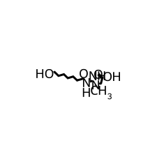 CN(CC(=O)O)C(=N)NC(=O)CCCCCCO